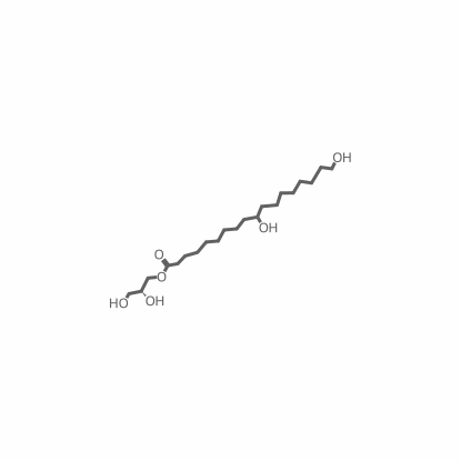 O=C(CCCCCCCCC(O)CCCCCCCCO)OC[C@H](O)CO